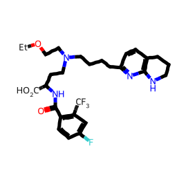 CCOCCN(CCCCc1ccc2c(n1)NCCC2)CCC(NC(=O)c1ccc(F)cc1C(F)(F)F)C(=O)O